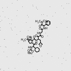 CN(C)C(=O)[C@@H](NC(=O)CNC(=O)C(=O)C(CC1COC1)NC(=O)[C@@H]1[C@@H]2C(CN1C(=O)[C@@H](NC(=O)OC(C)(C)C)C1CCCCC1)C2(C)C)c1ccccc1